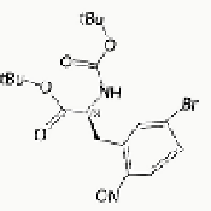 CC(C)(C)OC(=O)N[C@@H](Cc1cc(Br)ccc1N=O)C(=O)OC(C)(C)C